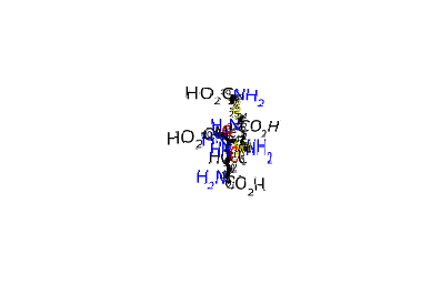 CSCC[C@H](N)C(=O)O.NC(CCC(=O)NC(CS)C(=O)NCC(=O)O)C(=O)O.NC(CSSC[C@H](N)C(=O)O)C(=O)O